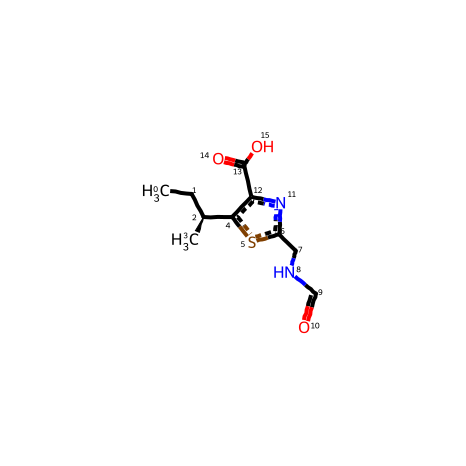 CC[C@H](C)c1sc(CNC=O)nc1C(=O)O